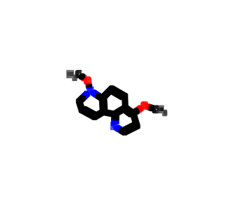 COc1ccnc2c3c(ccc12)N(OC)CC=C3